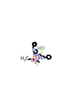 C=CCOC(=O)N1CSC[C@H]1C(=O)N[C@H](CCC1CCCCC1)C(=S)NC1CCN(Cc2ccccc2)CC1.Cl